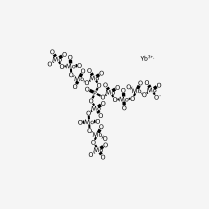 O=P([O][Mo](=[O])(=[O])[O][Mo](=[O])(=[O])[O][Mo](=[O])(=[O])[O][Mo](=[O])(=[O])[O-])([O][Mo](=[O])(=[O])[O][Mo](=[O])(=[O])[O][Mo](=[O])(=[O])[O][Mo](=[O])(=[O])[O-])[O][Mo](=[O])(=[O])[O][Mo](=[O])(=[O])[O][Mo](=[O])(=[O])[O][Mo](=[O])(=[O])[O-].[Yb+3]